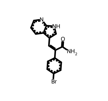 NC(=O)/C(=C\c1c[nH]c2ncccc12)c1ccc(Br)cc1